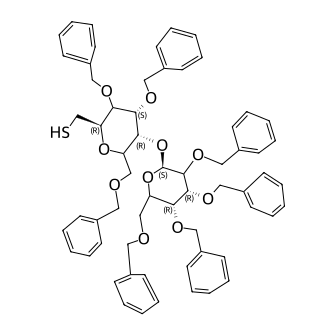 SC[C@@H]1OC(COCc2ccccc2)[C@@H](O[C@@H]2OC(COCc3ccccc3)[C@@H](OCc3ccccc3)[C@@H](OCc3ccccc3)C2OCc2ccccc2)[C@@H](OCc2ccccc2)C1OCc1ccccc1